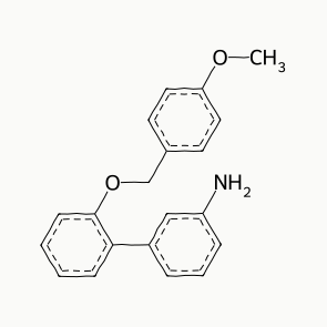 COc1ccc(COc2ccccc2-c2cccc(N)c2)cc1